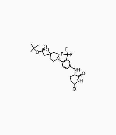 CC(C)(C)OC(=O)CC1(O)CCN(c2ccc(NC3CCC(=O)NC3=O)cc2C(F)(F)F)CC1